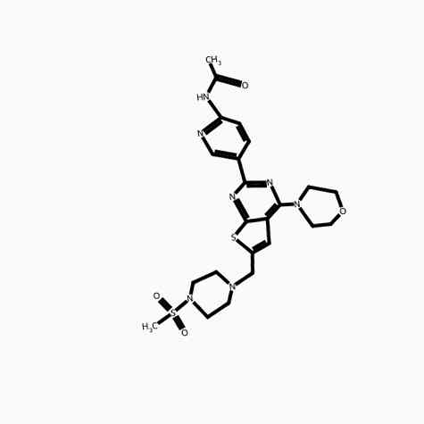 CC(=O)Nc1ccc(-c2nc(N3CCOCC3)c3cc(CN4CCN(S(C)(=O)=O)CC4)sc3n2)cn1